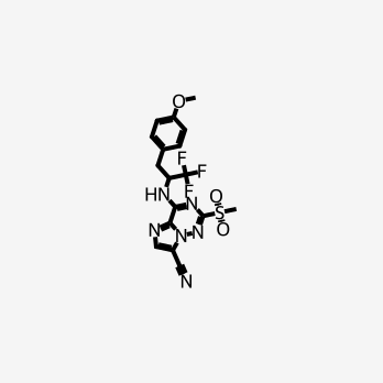 COc1ccc(CC(Nc2nc(S(C)(=O)=O)nn3c(C#N)cnc23)C(F)(F)F)cc1